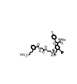 CNC(=O)c1c(-c2ccc(F)cc2)oc2cc(CS(=O)(=O)NCCNC(=O)CNC(=O)c3cccc(CCCC(=O)O)c3)c(C3CC3)cc12